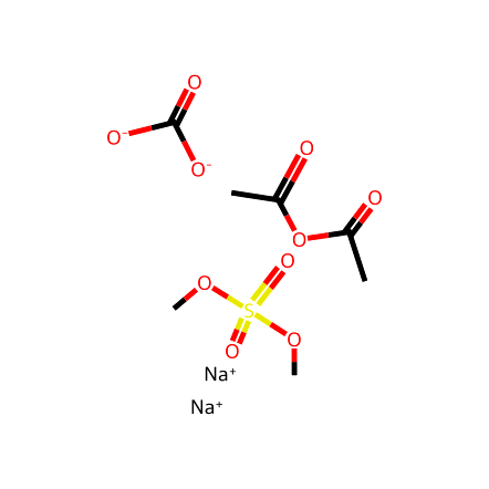 CC(=O)OC(C)=O.COS(=O)(=O)OC.O=C([O-])[O-].[Na+].[Na+]